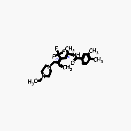 C=C/C(CN1CCN(CC)CC1)=C(\C=C(/C)NC(=O)c1ccc(C)c(C)c1)C(F)(F)F